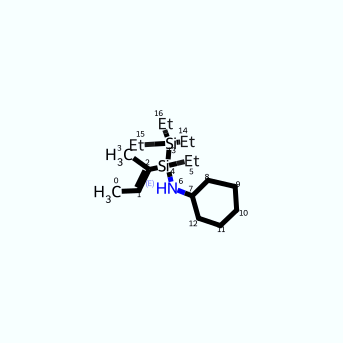 C/C=C(\C)[Si](CC)(NC1CCCCC1)[Si](CC)(CC)CC